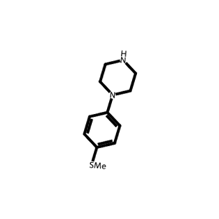 CSc1ccc(N2CCNCC2)cc1